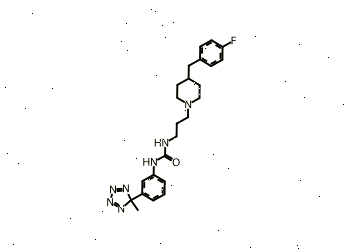 CC1(c2cccc(NC(=O)NCCCN3CCC(Cc4ccc(F)cc4)CC3)c2)N=NN=N1